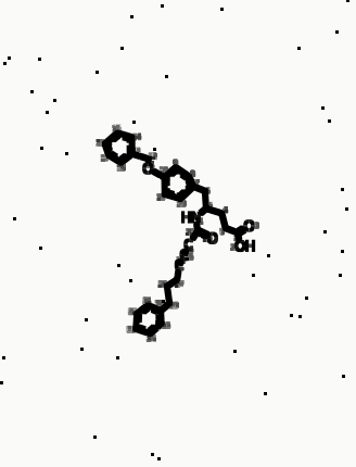 O=C(O)CCC(Cc1ccc(OCc2ccccc2)cc1)NC(=O)CCCCCCc1ccccc1